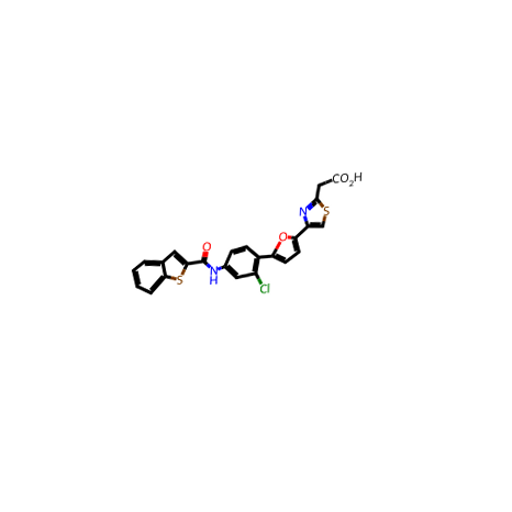 O=C(O)Cc1nc(-c2ccc(-c3ccc(NC(=O)c4cc5ccccc5s4)cc3Cl)o2)cs1